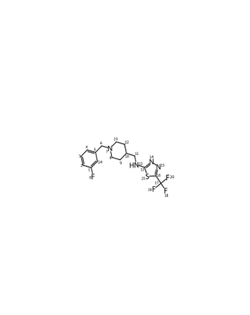 Fc1cccc(CN2CCC(CNc3nnc(C(F)(F)F)s3)CC2)c1